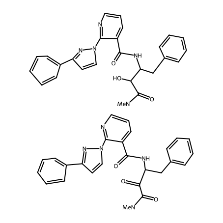 CNC(=O)C(=O)C(Cc1ccccc1)NC(=O)c1cccnc1-n1ccc(-c2ccccc2)n1.CNC(=O)C(O)C(Cc1ccccc1)NC(=O)c1cccnc1-n1ccc(-c2ccccc2)n1